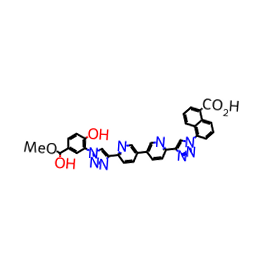 COC(O)c1ccc(O)c(-n2cc(-c3ccc(-c4ccc(-c5cn(-c6cccc7c(C(=O)O)cccc67)nn5)nc4)cn3)nn2)c1